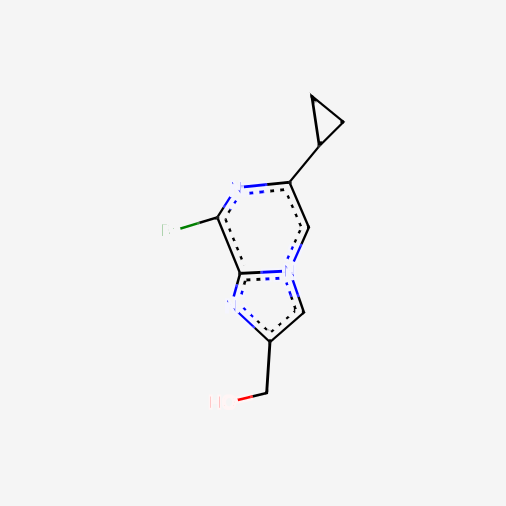 OCc1cn2cc(C3CC3)nc(Br)c2n1